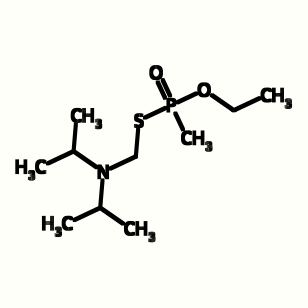 CCOP(C)(=O)SCN(C(C)C)C(C)C